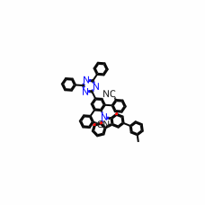 Cc1cccc(-c2ccc3c(c2)c2ccccc2n3-c2c(-c3ccccc3C#N)cc(-c3nc(-c4ccccc4)nc(-c4ccccc4)n3)cc2-c2ccccc2C#N)c1